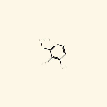 CCCCCSc1nccc(N)c1[N+](=O)[O-]